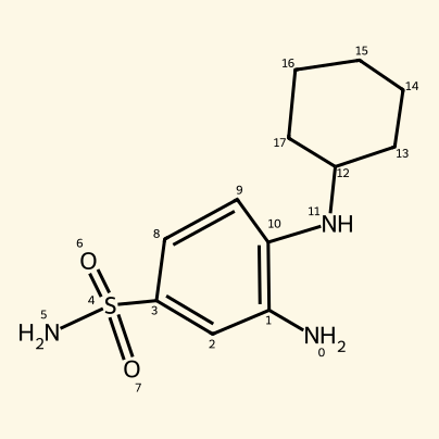 Nc1cc(S(N)(=O)=O)ccc1NC1CCCCC1